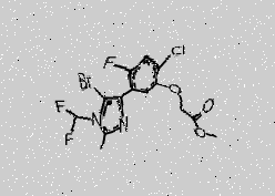 COC(=O)COc1cc(-c2nc(C)n(C(F)F)c2Br)c(F)cc1Cl